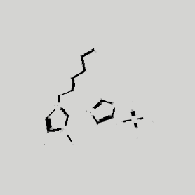 CCCCCC[n+]1ccn(C)c1.Cl.O=S(=O)([O-])O.c1c[nH]cn1